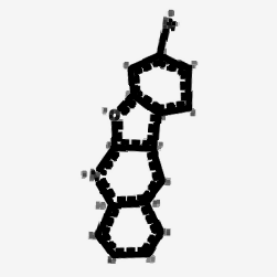 Brc1ccc2c(c1)oc1nc3ccccc3cc12